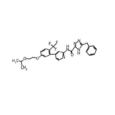 CC(C)OCCOc1ccc(C(F)(F)F)c(-c2ccnc(NC(=O)c3nnc(Cc4ccccc4)[nH]3)c2)c1